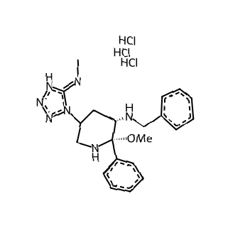 CN=c1[nH]nnn1C1CN[C@](OC)(c2ccccc2)[C@@H](NCc2ccccc2)C1.Cl.Cl.Cl